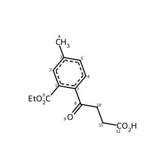 CCOC(=O)c1cc(C)ccc1C(=O)CCC(=O)O